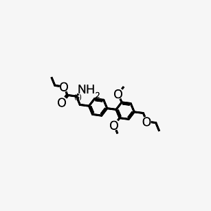 CCOCc1cc(OC)c(-c2ccc(C[C@H](N)C(=O)OCC)cc2)c(OC)c1